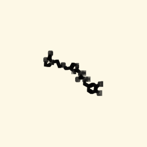 O=C(NCc1ccc(Cl)c(Cl)c1)Nc1nc(COCCN2CCOC2=O)cs1